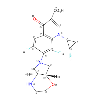 O=C(O)c1cn([C@@H]2C[C@@H]2F)c2c(F)c(N3C[C@@H]4NCCO[C@H]4C3)c(F)cc2c1=O